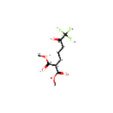 COC(=O)C(CCCC(=O)C(F)(F)F)C(=O)OC